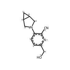 N#Cc1nc(CO)ccc1N1CC2CC2C1